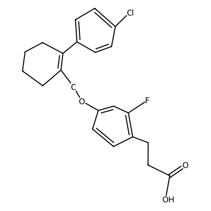 O=C(O)CCc1ccc(OCC2=C(c3ccc(Cl)cc3)CCCC2)cc1F